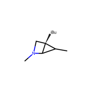 CCC(C)[C@]12CN(C)C1C2C